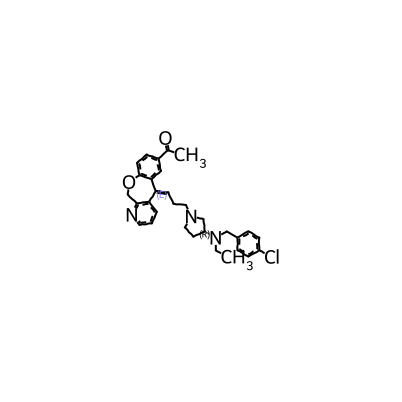 CCN(Cc1ccc(Cl)cc1)[C@@H]1CCN(CC/C=C2/c3cc(C(C)=O)ccc3OCc3ncccc32)C1